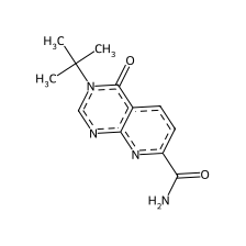 CC(C)(C)n1cnc2nc(C(N)=O)ccc2c1=O